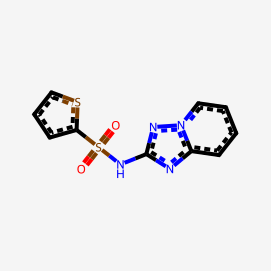 O=S(=O)(Nc1nc2ccccn2n1)c1cccs1